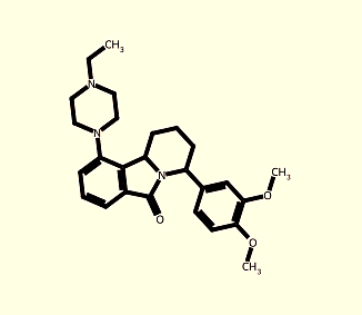 CCN1CCN(c2cccc3c2C2CCCC(c4ccc(OC)c(OC)c4)N2C3=O)CC1